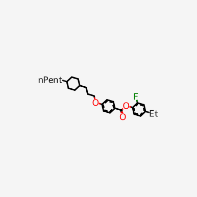 CCCCCC1CCC(CCCOc2ccc(C(=O)Oc3ccc(CC)cc3F)cc2)CC1